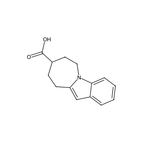 O=C(O)C1CCc2cc3ccccc3n2CC1